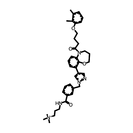 Cc1cccc(OCCCC(=O)N2CCCOc3c(-c4cnn(Cc5cccc(C(=O)NCCC[N+](C)(C)C)c5)c4)cccc32)c1C